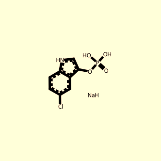 O=P(O)(O)Oc1c[nH]c2ccc(Cl)cc12.[NaH]